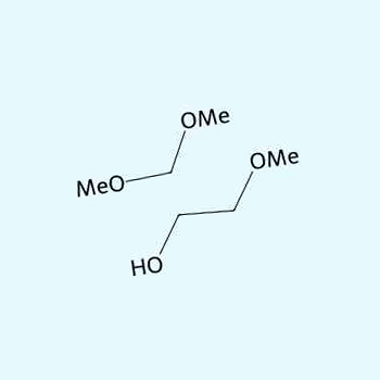 COCCO.COCOC